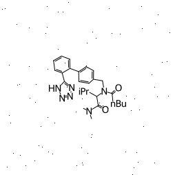 CCCCC(=O)N(Cc1ccc(-c2ccccc2-c2nnn[nH]2)cc1)C(C(=O)N(C)C)C(C)C